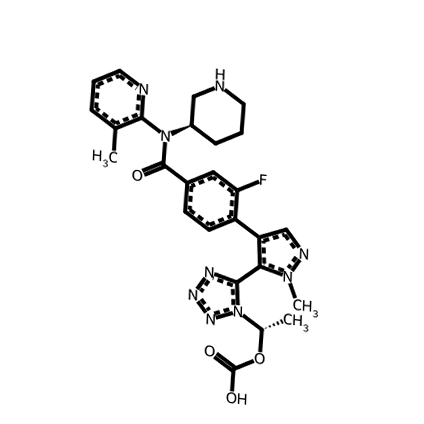 Cc1cccnc1N(C(=O)c1ccc(-c2cnn(C)c2-c2nnnn2[C@H](C)OC(=O)O)c(F)c1)[C@@H]1CCCNC1